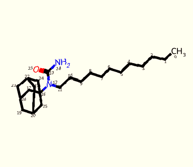 CCCCCCCCCCCCN(C(N)=O)C12CC3CC(CC(C3)C1)C2